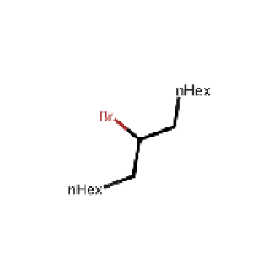 CCCCCCCC(Br)CCCCCCC